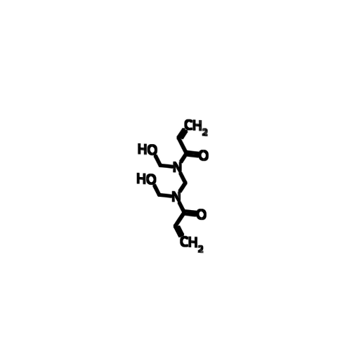 C=CC(=O)N(CO)CN(CO)C(=O)C=C